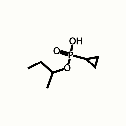 CCC(C)OP(=O)(O)C1CC1